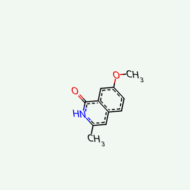 COc1ccc2cc(C)[nH]c(=O)c2c1